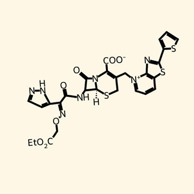 CCOC(=O)CON=C(C(=O)NC1C(=O)N2C(C(=O)[O-])=C(C[n+]3cccc4sc(-c5cccs5)nc43)CS[C@@H]12)c1ccn[nH]1